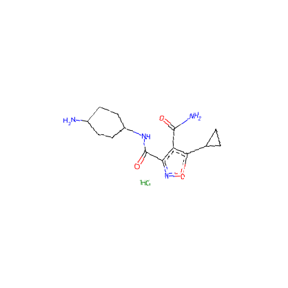 Cl.NC(=O)c1c(C(=O)NC2CCC(N)CC2)noc1C1CC1